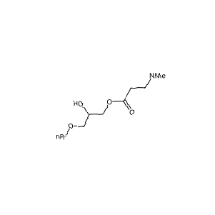 CCCOCC(O)COC(=O)CCNC